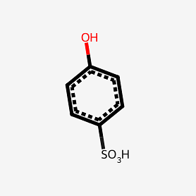 O=S(=O)(O)c1ccc(O)cc1